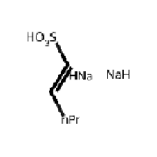 CCCC=CS(=O)(=O)O.[NaH].[NaH]